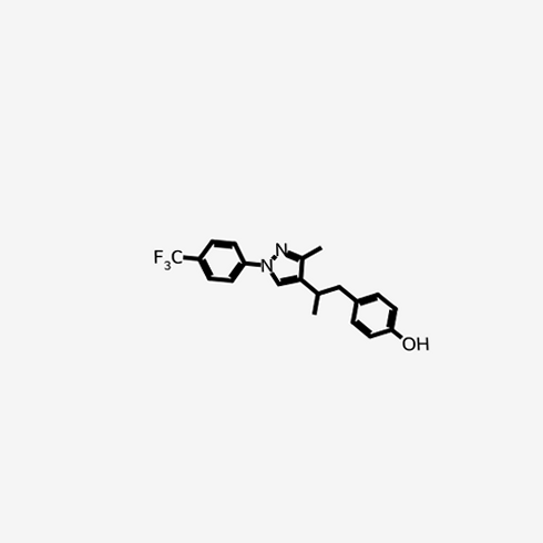 Cc1nn(-c2ccc(C(F)(F)F)cc2)cc1C(C)Cc1ccc(O)cc1